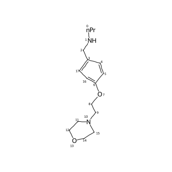 CCCNCc1ccc(OCCN2CCOCC2)cc1